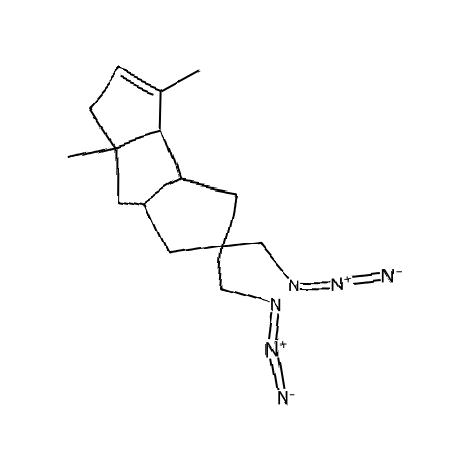 CC1=CCC2(C)CC3CC(CN=[N+]=[N-])(CN=[N+]=[N-])CC3C12